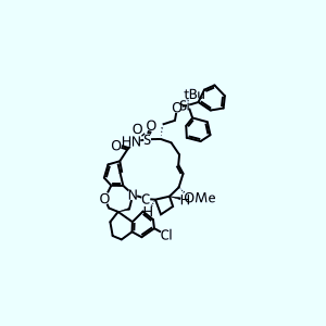 CO[C@H]1/C=C/CC[C@@H](CCO[Si](c2ccccc2)(c2ccccc2)C(C)(C)C)S(=O)(=O)NC(=O)c2ccc3c(c2)N(C[C@@H]2CC[C@H]21)C[C@@]1(CCCc2cc(Cl)ccc21)CO3